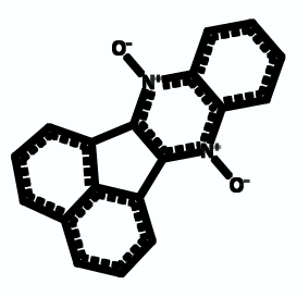 [O-][n+]1c2c([n+]([O-])c3ccccc31)-c1cccc3cccc-2c13